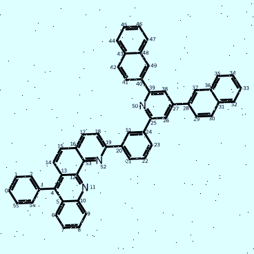 c1ccc(-c2c3ccccc3nc3c2ccc2ccc(-c4cccc(-c5cc(-c6ccc7ccccc7c6)cc(-c6ccc7ccccc7c6)n5)c4)nc23)cc1